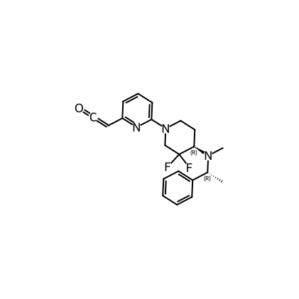 C[C@H](c1ccccc1)N(C)[C@@H]1CCN(c2cccc(C=C=O)n2)CC1(F)F